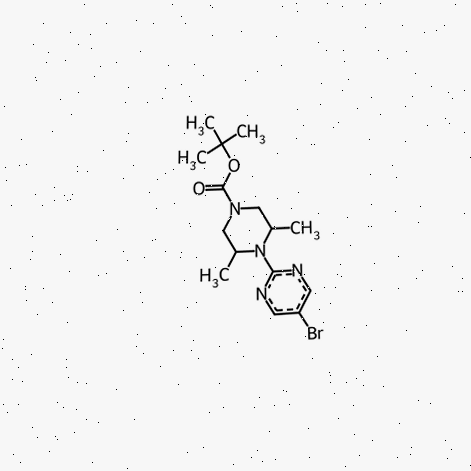 CC1CN(C(=O)OC(C)(C)C)CC(C)N1c1ncc(Br)cn1